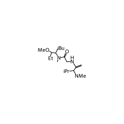 C=C(NCC(=O)N(C)C(C(C)CC)C(CC)OC)C(NC)C(C)C